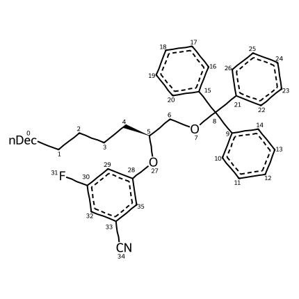 CCCCCCCCCCCCCC[C@@H](COC(c1ccccc1)(c1ccccc1)c1ccccc1)Oc1cc(F)cc(C#N)c1